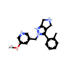 Cc1ccccc1-c1c2c(nn1Cc1cncc(OC(C)C)c1)CNC2